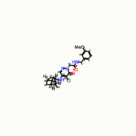 COc1cccc(CNC(=O)Cn2ncc(N[C@@H]3C[C@@H]4C[C@H]([C@H]3C)C4(C)C)c(Cl)c2=O)c1